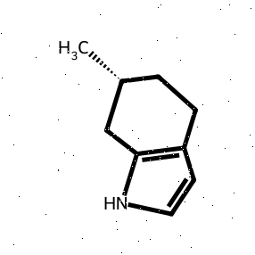 C[C@@H]1CCc2cc[nH]c2C1